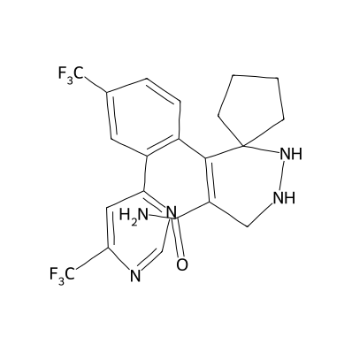 NC(=O)C1=C(c2ccc(C(F)(F)F)cc2-c2cc(C(F)(F)F)ncn2)C2(CCCC2)NNC1